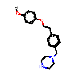 CCOc1ccc(OCCc2ccc(CN3CCNCC3)cc2)cc1